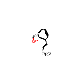 CCC(C)O.O=C/C=C/c1ccccc1